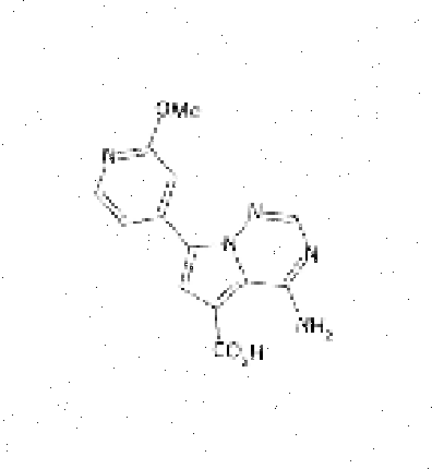 COc1cc(-c2cc(C(=O)O)c3c(N)ncnn23)ccn1